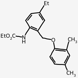 CCOC(=O)Nc1ccc(CC)cc1COc1ccc(C)cc1C